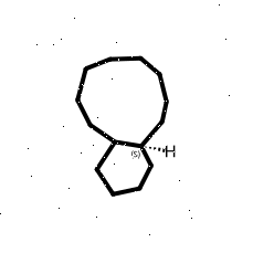 C1CCCC[C@H]2CCCCC2CCC1